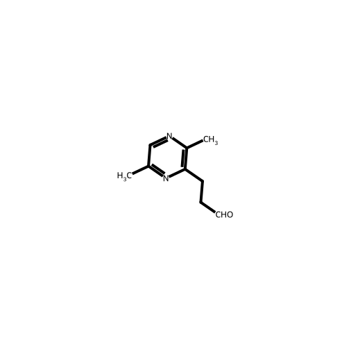 Cc1cnc(C)c(CCC=O)n1